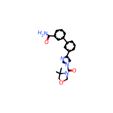 CC1(C)COCN1C(=O)n1cnc(-c2cccc(-c3cccc(C(N)=O)c3)c2)c1